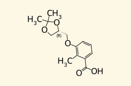 Cc1c(OC[C@@H]2COC(C)(C)O2)cccc1C(=O)O